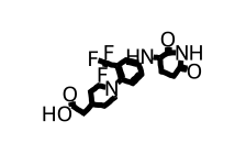 O=C(O)CC1CCN(c2ccc(NC3CCC(=O)NC3=O)cc2C(F)(F)F)CC1